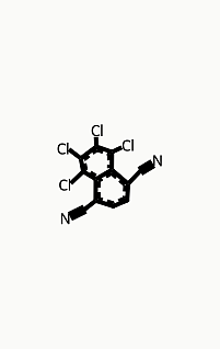 N#Cc1ccc(C#N)c2c(Cl)c(Cl)c(Cl)c(Cl)c12